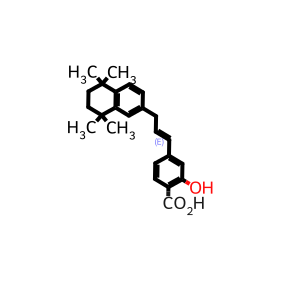 CC1(C)CCC(C)(C)c2cc(C/C=C/c3ccc(C(=O)O)c(O)c3)ccc21